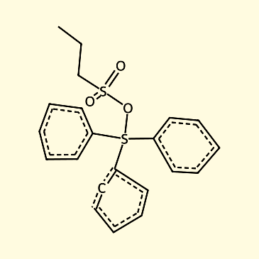 CCCS(=O)(=O)OS(c1ccccc1)(c1ccccc1)c1ccccc1